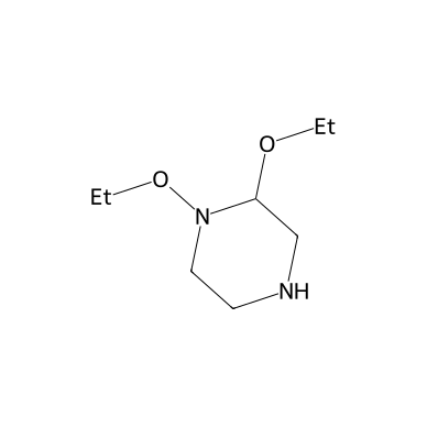 CCOC1CNCCN1OCC